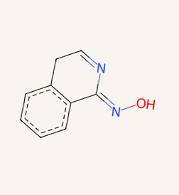 ON=C1N=CCc2ccccc21